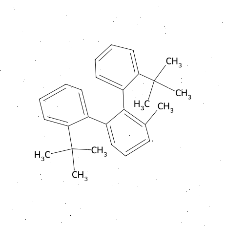 Cc1[c]ccc(-c2ccccc2C(C)(C)C)c1-c1ccccc1C(C)(C)C